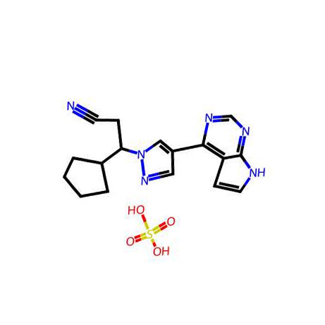 N#CCC(C1CCCC1)n1cc(-c2ncnc3[nH]ccc23)cn1.O=S(=O)(O)O